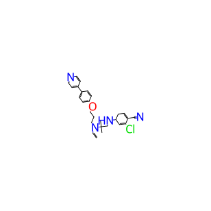 C=CN(CCCOc1ccc(-c2ccncc2)cc1)C(C)(C)CN[C@@H]1C=C(Cl)C(C#N)=CC1